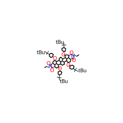 C=CCN1C(=O)c2cc(Oc3ccc(C(C)(C)CC(C)(C)C)cc3)c3c4ccc5c6c(Oc7ccc(C(C)(C)CC(C)(C)C)cc7)cc7c8c(cc(Oc9ccc(C(C)(C)CC(C)(C)C)cc9)c(c9ccc(c%10c(Oc%11ccc(C(C)(C)CC(C)(C)C)cc%11)cc(c2c3%10)C1=O)c4c59)c86)C(=O)N(CC=C)C7=O